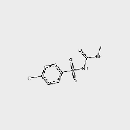 CNC(=O)NS(=O)(=O)c1ccc(Cl)cc1